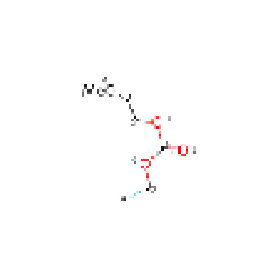 COCCOC(=O)OCF